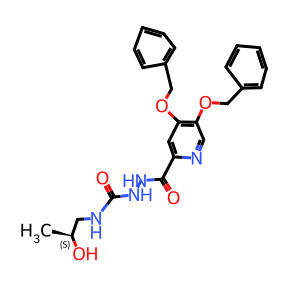 C[C@H](O)CNC(=O)NNC(=O)c1cc(OCc2ccccc2)c(OCc2ccccc2)cn1